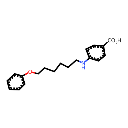 O=C(O)c1ccc(NCCCCCCOc2ccccc2)cc1